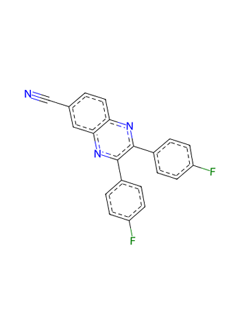 N#Cc1ccc2nc(-c3ccc(F)cc3)c(-c3ccc(F)cc3)nc2c1